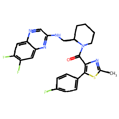 Cc1nc(C(=O)N2CCCCC2CNc2cnc3cc(F)c(F)cc3n2)c(-c2ccc(F)cc2)s1